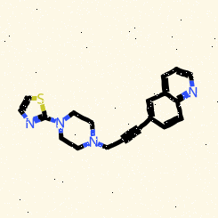 C(#Cc1ccc2ncccc2c1)CN1CCN(c2nccs2)CC1